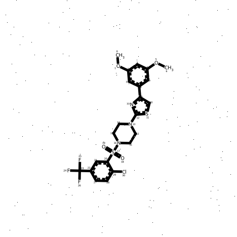 COc1cc(OC)cc(-c2csc(N3CCN(S(=O)(=O)c4cc(C(F)(F)F)ccc4Cl)CC3)n2)c1